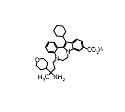 CC(N)(CCN1CCn2c(c(C3CCCCC3)c3ccc(C(=O)O)cc32)-c2ccccc21)C1CCOCC1